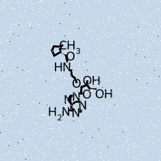 CC1CCC[C@H]1C1OC1NCCCOC1C(O)[C@@H](CO)O[C@H]1N1C=NC2C(N)=NC=NC21